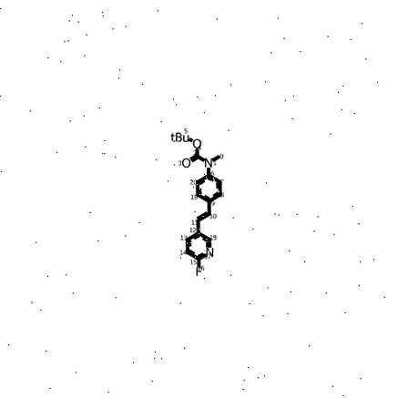 CN(C(=O)OC(C)(C)C)c1ccc(/C=C/c2ccc(F)nc2)cc1